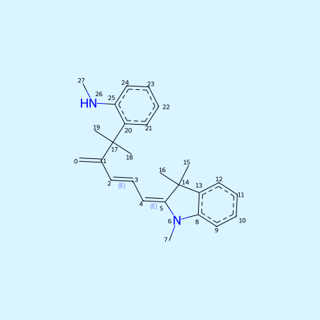 C=C(/C=C/C=C1/N(C)c2ccccc2C1(C)C)C(C)(C)c1ccccc1NC